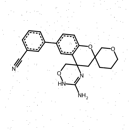 N#Cc1cccc(-c2ccc3c(c2)C2(CONC(N)=N2)CC2(CCCOC2)O3)c1